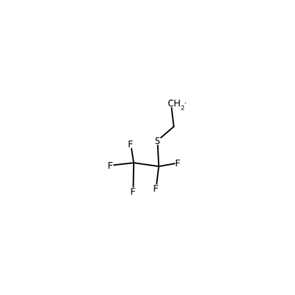 [CH2]CSC(F)(F)C(F)(F)F